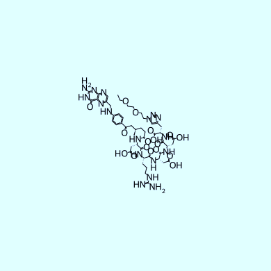 CCOCCOCCn1cc(C[C@H](NC(=O)[C@H](CC(=O)O)NC(=O)[C@H](CC(=O)O)NC(=O)[C@H](CCCNC(=N)N)NC(=O)[C@H](CC(=O)O)NC(=O)CC[C@@H](C)CC(=O)c2ccc(NCc3cnc4nc(N)[nH]c(=O)c4n3)cc2)C(=O)O)nn1